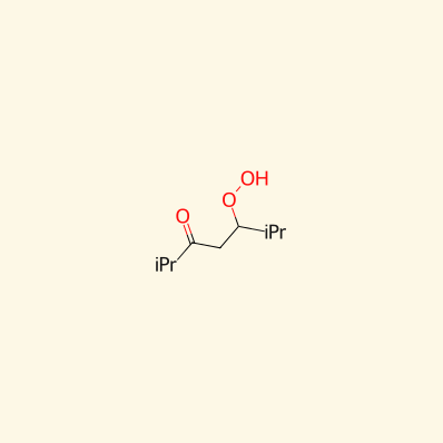 CC(C)C(=O)CC(OO)C(C)C